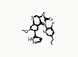 CCCc1cnc(-n2c(=O)n(C)c3cnc4cc(OC)c(-c5ccn[nH]5)cc4c32)c(F)c1